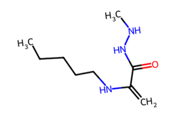 C=C(NCCCCC)C(=O)NNC